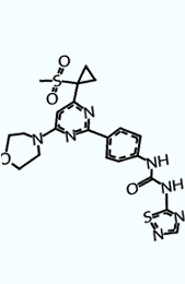 CS(=O)(=O)C1(c2cc(N3CCOCC3)nc(-c3ccc(NC(=O)Nc4ncns4)cc3)n2)CC1